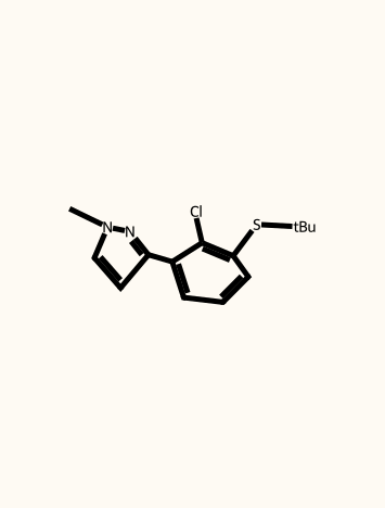 Cn1ccc(-c2cccc(SC(C)(C)C)c2Cl)n1